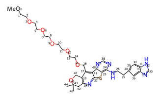 COCCOCCOCCOCCOCCOCc1c2c(nc3sc4c(NCCc5ccc6[nH]cnc6c5)ncnc4c13)CC(C)(C)OC2